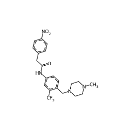 CN1CCN(Cc2ccc(NC(=O)Cc3ccc([N+](=O)[O-])cc3)cc2C(F)(F)F)CC1